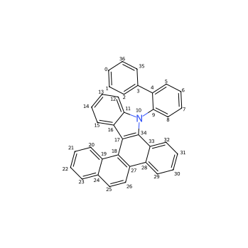 c1ccc(-c2ccccc2-n2c3ccccc3c3c4c5ccccc5ccc4c4ccccc4c32)cc1